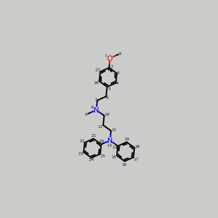 COc1ccc(CCN(C)CCCN(c2ccccc2)c2ccccc2)cc1